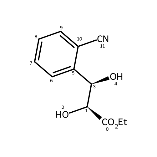 CCOC(=O)[C@@H](O)[C@H](O)c1ccccc1C#N